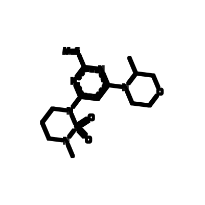 CSc1nc(N2CCOCC2C)cc(N2CCCN(C)S2(=O)=O)n1